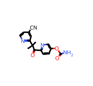 CC(C)(C(=O)c1ccc(OC(N)=O)cn1)c1cc(C#N)ccn1